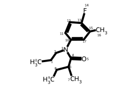 CCCN(C(=O)C(C)CC)c1ccc(F)c(C)c1